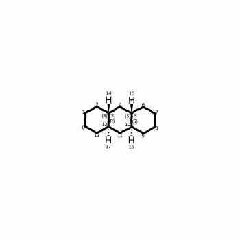 C1CC[C@@H]2C[C@@H]3CCCC[C@H]3C[C@H]2C1